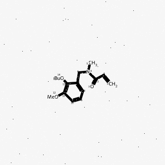 C=CC(=O)N(C)Cc1cccc(OC)c1OCC(C)C